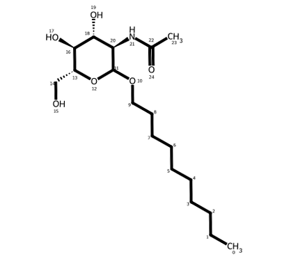 CCCCCCCCCCOC1O[C@H](CO)[C@@H](O)[C@H](O)[C@H]1NC(C)=O